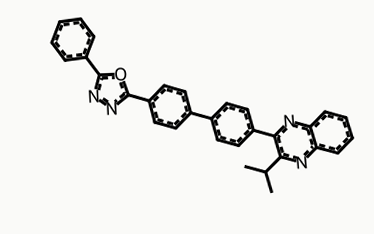 CC(C)c1nc2ccccc2nc1-c1ccc(-c2ccc(-c3nnc(-c4ccccc4)o3)cc2)cc1